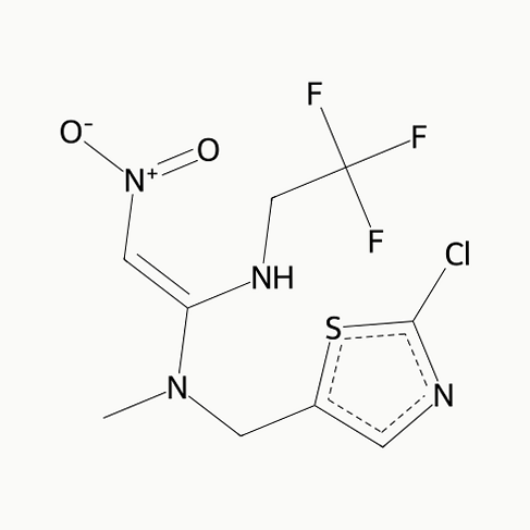 CN(Cc1cnc(Cl)s1)C(=C[N+](=O)[O-])NCC(F)(F)F